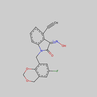 C#Cc1cccc2c1/C(=N/O)C(=O)N2Cc1cc(F)cc2c1OCOC2